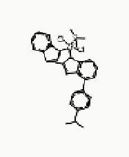 CC1=Cc2c(-c3ccc(C(C)C)cc3)cccc2[CH]1[Zr]([Cl])([Cl])([CH]1C=Cc2ccccc21)[SiH](C)C